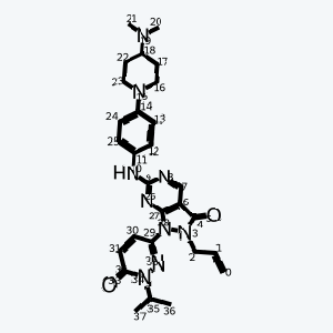 C=CCn1c(=O)c2cnc(Nc3ccc(N4CCC(N(C)C)CC4)cc3)nc2n1-c1ccc(=O)n(C(C)C)n1